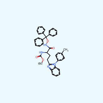 Cc1ccc(-n2c(CCC(NC(=O)OC(C)(C)C)C(=O)NOC(c3ccccc3)(c3ccccc3)c3ccccc3)nc3ccccc32)cc1